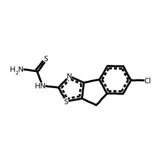 NC(=S)Nc1nc2c(s1)Cc1cc(Cl)ccc1-2